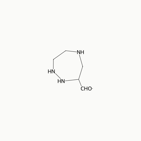 O=[C]C1CNCCNN1